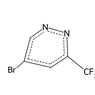 FC(F)(F)c1cc(Br)cnn1